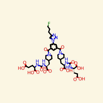 O=C(O)CCC(NC(=O)N[C@@H](CC1CCN(C(=O)c2cc(C(=O)N3CCC(CC(NC(=O)N[C@@H](CCC(=O)O)C(=O)O)C(=O)O)CC3)cc(-n3cc(CCCF)nn3)c2)CC1)C(=O)O)C(=O)O